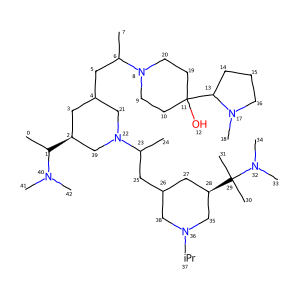 CC([C@H]1CC(CC(C)N2CCC(O)(C3CCCN3C)CC2)CN(C(C)CC2C[C@@H](C(C)(C)N(C)C)CN(C(C)C)C2)C1)N(C)C